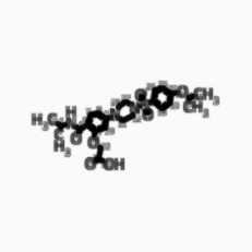 CC(C)NC(=O)c1ccc(N2CCN(S(=O)(=O)c3ccc(OC(C)C)cc3)CC2)cc1OCC(=O)O